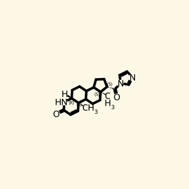 C[C@]12CCC3C(CC[C@H]4NC(=O)C=C[C@]34C)C1CC[C@@H]2C(=O)n1ccnc1